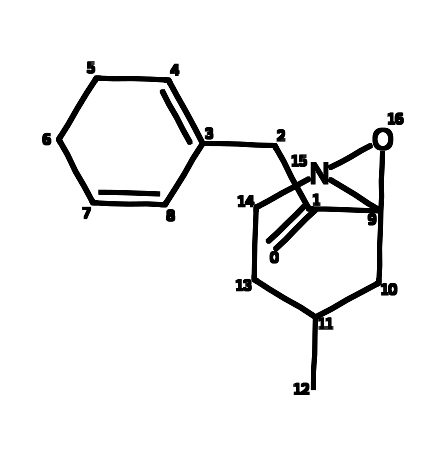 C=C(CC1=CCCC=C1)C12CC(C)CCN1O2